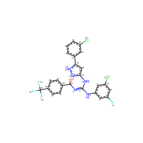 O=C(/N=C(/Nc1cc(F)cc(Cl)c1)Nc1cc(-c2cccc(Cl)c2)[nH]n1)c1ccc(C(F)(F)F)cc1